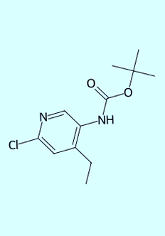 CCc1cc(Cl)ncc1NC(=O)OC(C)(C)C